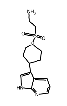 NCCS(=O)(=O)N1CCC(c2c[nH]c3ncccc23)CC1